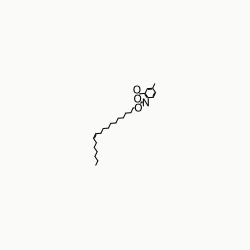 CCCCCC/C=C\CCCCCCCCCCOc1nc2ccc(C)cc2c(=O)o1